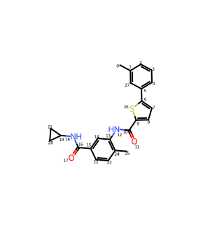 Cc1cccc(-c2ccc(C(=O)Nc3cc(C(=O)NC4CC4)ccc3C)s2)c1